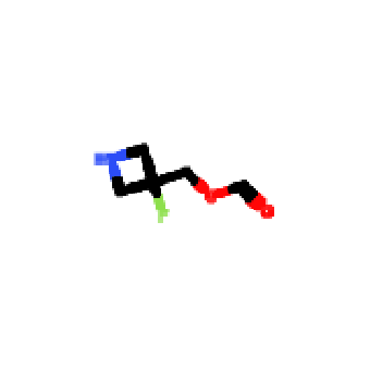 O=COCC1(F)CNC1